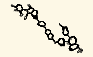 O=C1CCC(N2C(=O)c3ccc(N4CCN(C5CC6CC(Oc7ccc([C@@H]8c9ccc(O)cc9CC[C@@H]8c8ccc(F)cc8)cc7)CC6C5)CC4)cc3C2=O)C(=O)N1